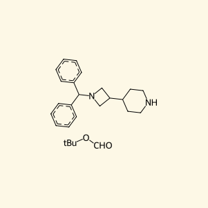 CC(C)(C)OC=O.c1ccc(C(c2ccccc2)N2CC(C3CCNCC3)C2)cc1